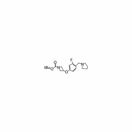 CC(C)(C)OC(=O)N1CC(Oc2ccc(CN3CCCC3)c(F)c2)C1